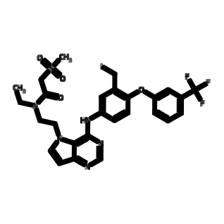 CCN(CCn1ccc2ncnc(Nc3ccc(Oc4cccc(C(F)(F)F)c4)c(CI)c3)c21)C(=O)CS(C)(=O)=O